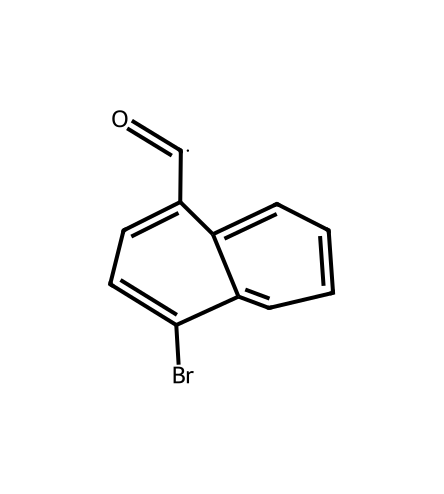 O=[C]c1ccc(Br)c2ccccc12